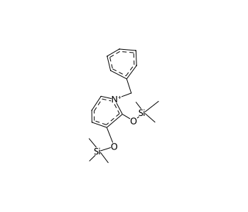 C[Si](C)(C)Oc1ccc[n+](Cc2ccccc2)c1O[Si](C)(C)C